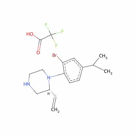 C=C[C@@H]1CNCCN1c1ccc(C(C)C)cc1Br.O=C(O)C(F)(F)F